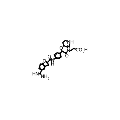 N=C(N)c1ccc2oc(C(=O)Nc3ccc(C(OC4CCNCC4)C(=O)NCCC(=O)O)cc3)cc2c1